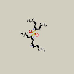 C=C/C=C\C=C(/C=C)S(=O)(=O)/C(C=C)=C/C=C